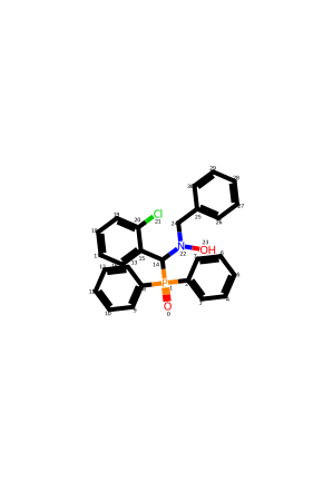 O=P(c1ccccc1)(c1ccccc1)C(c1ccccc1Cl)N(O)Cc1ccccc1